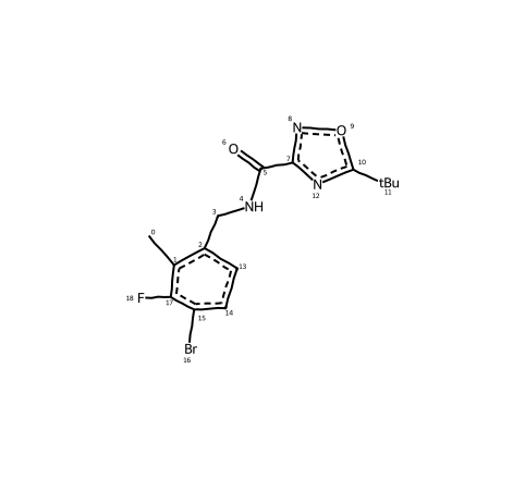 Cc1c(CNC(=O)c2noc(C(C)(C)C)n2)ccc(Br)c1F